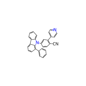 N#Cc1ccc(-n2c3ccccc3c3cccc(-c4ccccc4)c32)cc1-c1ccncc1